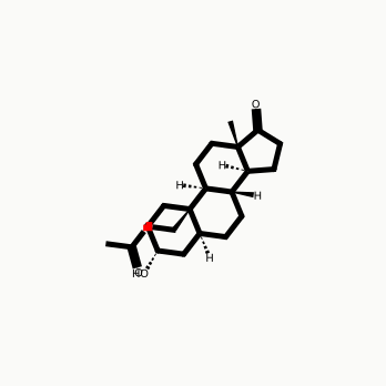 CC(=O)OC[C@]12CC[C@@H](O)C[C@@H]1CC[C@@H]1[C@@H]2CC[C@]2(C)C(=O)CC[C@@H]12